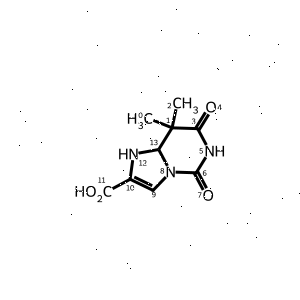 CC1(C)C(=O)NC(=O)N2C=C(C(=O)O)NC21